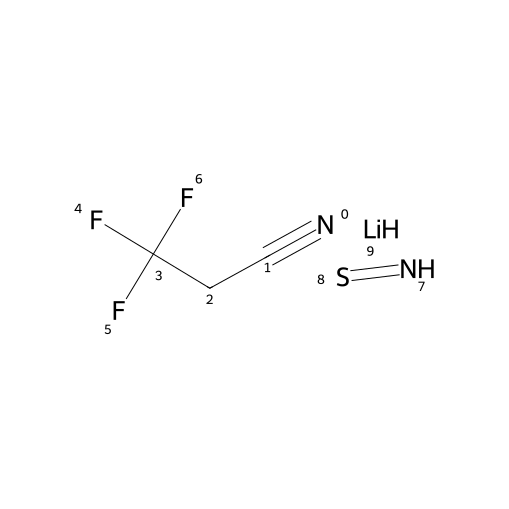 N#CCC(F)(F)F.N=S.[LiH]